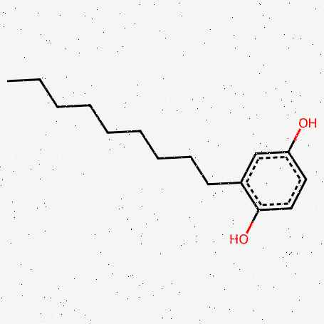 CCCCCCCCCc1cc(O)ccc1O